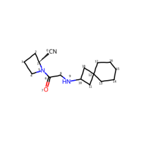 N#C[C@@H]1CCCN1C(=O)CNC1CC2(CCCCC2)C1